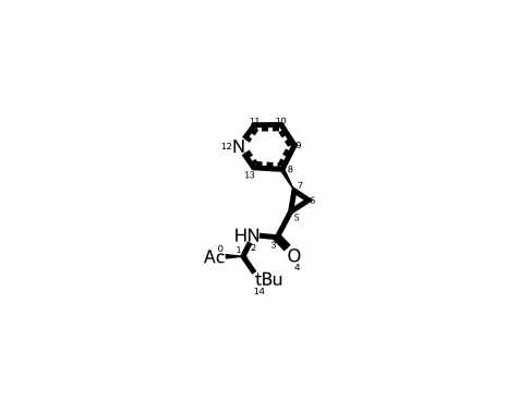 CC(=O)[C@@H](NC(=O)C1C[C@@H]1c1cccnc1)C(C)(C)C